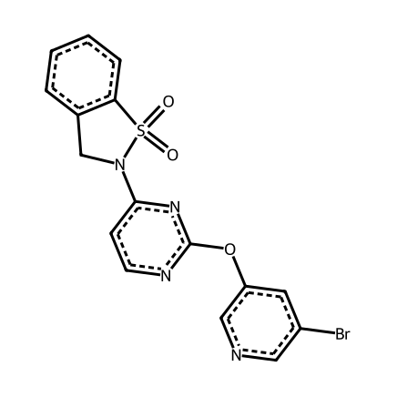 O=S1(=O)c2ccccc2CN1c1ccnc(Oc2cncc(Br)c2)n1